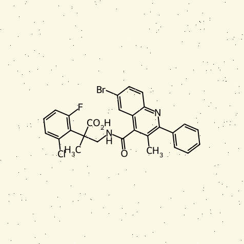 Cc1c(-c2ccccc2)nc2ccc(Br)cc2c1C(=O)NCC(C)(C(=O)O)c1c(F)cccc1Cl